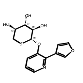 O[C@@H]1[C@@H](O)[C@H](Oc2cccnc2-c2ccoc2)SC[C@H]1O